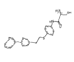 N[C@@H](CO)C(=O)Nc1ccc(SCCc2ccc(-c3ccccc3)cc2)cc1